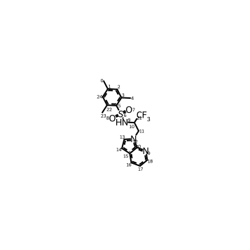 Cc1cc(C)c(S(=O)(=O)NC(Cn2ccc3cccnc32)C(F)(F)F)c(C)c1